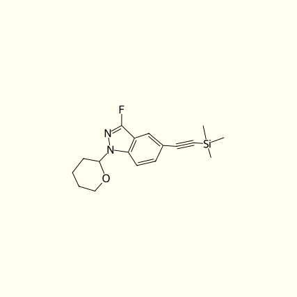 C[Si](C)(C)C#Cc1ccc2c(c1)c(F)nn2C1CCCCO1